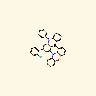 Fc1ccccc1-c1cc2c3c(c1)N1c4ccccc4Oc4cccc(c41)B3c1ccccc1N2c1ccccc1